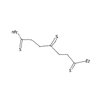 [CH2]CC(=S)CCC(=S)CCC(=S)CCC